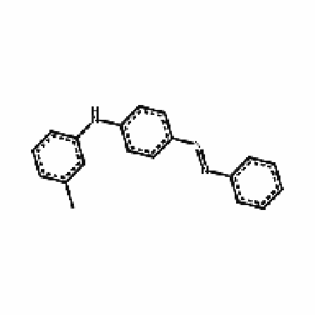 Cc1cccc(Nc2ccc(N=Nc3ccccc3)cc2)c1